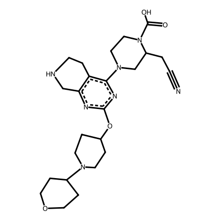 N#CCC1CN(c2nc(OC3CCN(C4CCOCC4)CC3)nc3c2CCNC3)CCN1C(=O)O